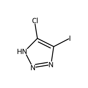 Clc1[nH]nnc1I